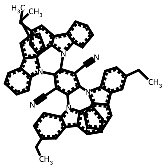 CCc1ccc2c(c1)c1ccccc1n2-c1c(C#N)c(-n2c3ccccc3c3cc(CC)ccc32)c(-n2c3ccccc3c3cc(CC)ccc32)c(C#N)c1-n1c2ccccc2c2cc(CC)ccc21